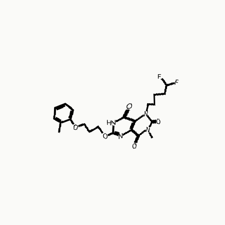 Cc1ccccc1OCCCOc1nc2c(=O)n(C)c(=O)n(CCCCC(F)F)c2c(=O)[nH]1